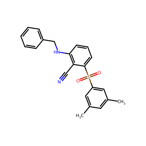 Cc1cc(C)cc(S(=O)(=O)c2cccc(NCc3ccccc3)c2C#N)c1